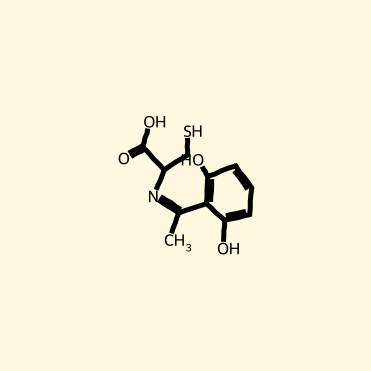 C/C(=N/C(CS)C(=O)O)c1c(O)cccc1O